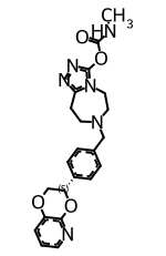 CNC(=O)Oc1nnc2n1CCN(Cc1ccc([C@H]3COc4cccnc4O3)cc1)CC2